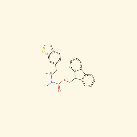 C[C@H](Cc1ccc2ccsc2c1)N(C)C(=O)OCC1c2ccccc2-c2ccccc21